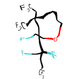 FC(F)(F)C(F)(F)C1(F)OCCC1(C(F)(F)F)C(F)(F)F